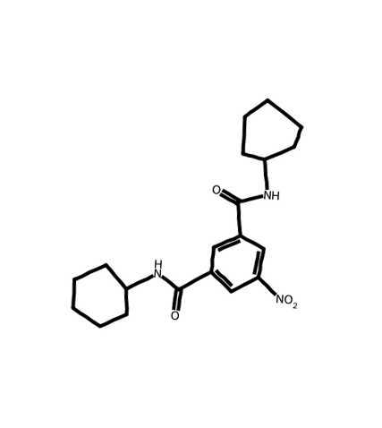 O=C(NC1CCCCC1)c1cc(C(=O)NC2CCCCC2)cc([N+](=O)[O-])c1